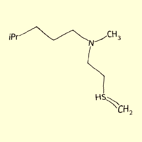 C=[SH]CCN(C)CCCC(C)C